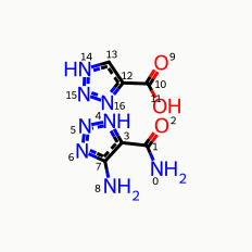 NC(=O)c1[nH]nnc1N.O=C(O)c1c[nH]nn1